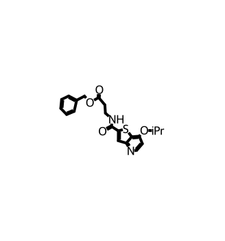 CC(C)Oc1ccnc2cc(C(=O)NCCC(=O)OCc3ccccc3)sc12